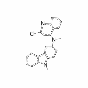 CN(c1ccc2c(c1)c1ccccc1n2C)c1cc(Cl)nc2ccccc12